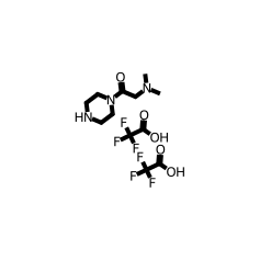 CN(C)CC(=O)N1CCNCC1.O=C(O)C(F)(F)F.O=C(O)C(F)(F)F